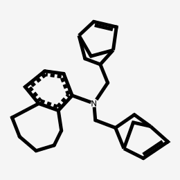 C1=CC2CC1CC2CN(CC1CC2C=CC1C2)c1cccc2c1CCCCC2